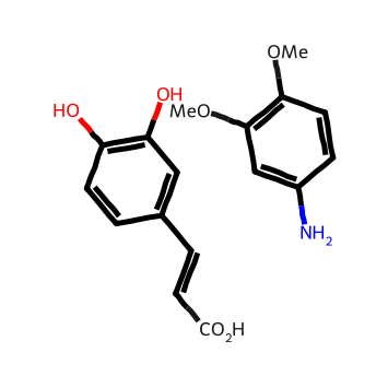 COc1ccc(N)cc1OC.O=C(O)C=Cc1ccc(O)c(O)c1